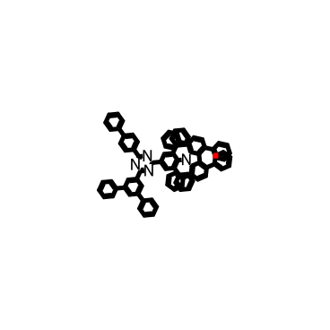 c1ccc(-c2ccc(-c3nc(-c4cc(-c5ccccc5)cc(-c5ccccc5)c4)nc(-c4cc(-c5ccccc5)c(-n5c6c(-c7ccccc7)ccc(-c7ccccc7)c6c6c(-c7ccccc7)ccc(-c7ccccc7)c65)c(-c5ccccc5)c4)n3)cc2)cc1